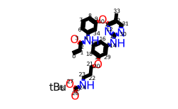 C=CC(=O)Nc1cccc(Oc2nc(Nc3cccc(OCCCNC(=O)OC(C)(C)C)c3)ncc2C)c1